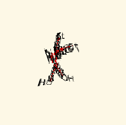 CCOCCOCCOCCOCCON(OCCOCCOCCOCCOCC)c1ccc(C(c2ccc(N(C)C)cc2)c2ccc(N(CCOCCOCCOCCOCCO)CCOCCOCCOCCOCCO)cc2)cc1